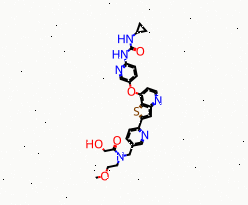 COCCN(Cc1ccc(-c2cc3nccc(Oc4ccc(NC(=O)NC5CC5)nc4)c3s2)nc1)C(=O)CO